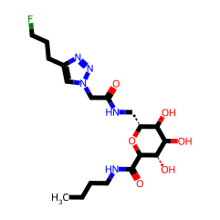 CCCCNC(=O)C1O[C@H](CNC(=O)Cn2cc(CCCF)nn2)C(O)C(O)[C@@H]1O